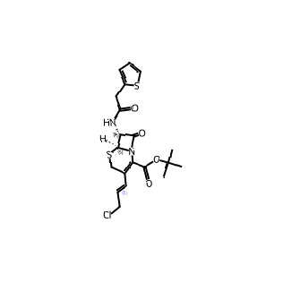 CC(C)(C)OC(=O)C1=C(/C=C/CCl)CS[C@H]2[C@H](NC(=O)Cc3cccs3)C(=O)N12